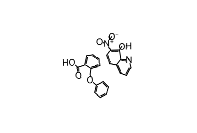 O=C(O)c1ccccc1Oc1ccccc1.O=[N+]([O-])c1ccc2cccnc2c1O